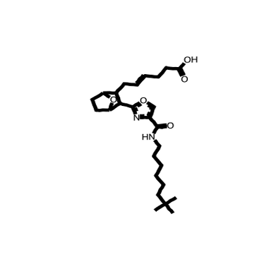 CC(C)(C)CCCCCCNC(=O)c1coc(C2C3CCC(O3)C2C/C=C/CCC(=O)O)n1